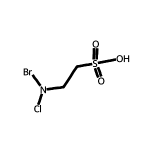 O=S(=O)(O)CCN(Cl)Br